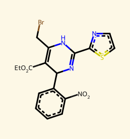 CCOC(=O)C1=C(CBr)NC(c2nccs2)=NC1c1ccccc1[N+](=O)[O-]